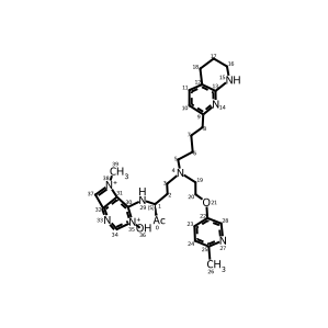 CC(=O)[C@H](CCN(CCCCc1ccc2c(n1)NCCC2)CCOc1ccc(C)nc1)Nc1c2c(nc[n+]1O)C=[N+]2C